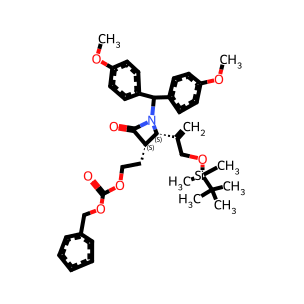 C=C(CO[Si](C)(C)C(C)(C)C)[C@@H]1[C@H](CCOC(=O)OCc2ccccc2)C(=O)N1C(c1ccc(OC)cc1)c1ccc(OC)cc1